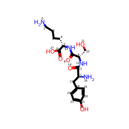 NCCCC[C@H](NC(=O)[C@H](CO)NC(=O)[C@@H](N)Cc1ccc(O)cc1)C(=O)O